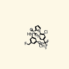 COc1cc(CF)cc(NS(=O)(=O)c2cccn2-c2ncc(C(F)(F)F)cc2Cl)c1